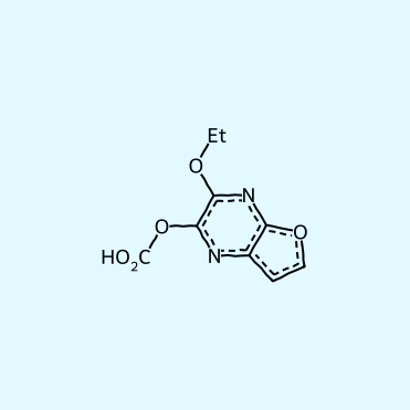 CCOc1nc2occc2nc1OC(=O)O